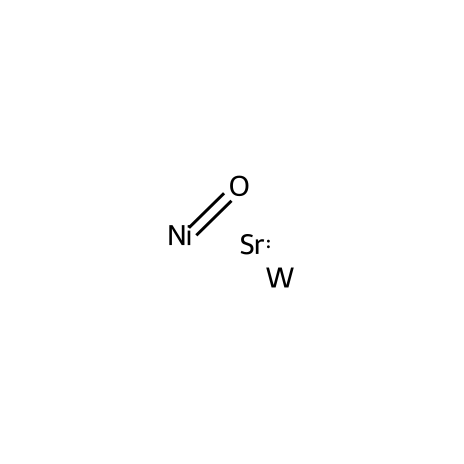 [O]=[Ni].[Sr].[W]